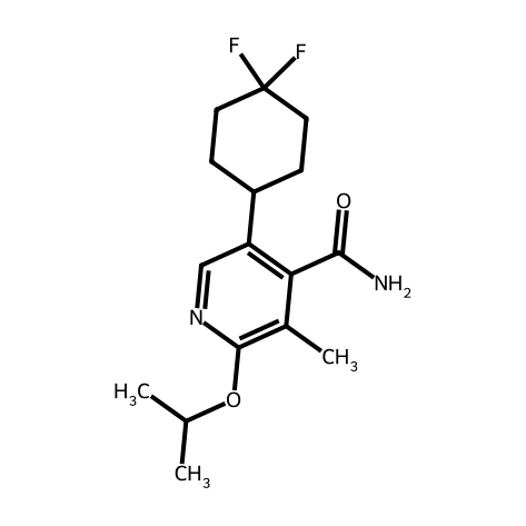 Cc1c(OC(C)C)ncc(C2CCC(F)(F)CC2)c1C(N)=O